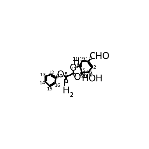 O=CC1=C[C@H](O)[C@H]2OC(C(P)Oc3ccccc3)O[C@H]2C1